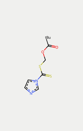 CC(C)(C)C(=O)OCSC(=S)n1ccnc1